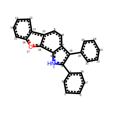 c1ccc(-c2[nH]c3c(ccc4c5ccccc5oc43)c2-c2ccccc2)cc1